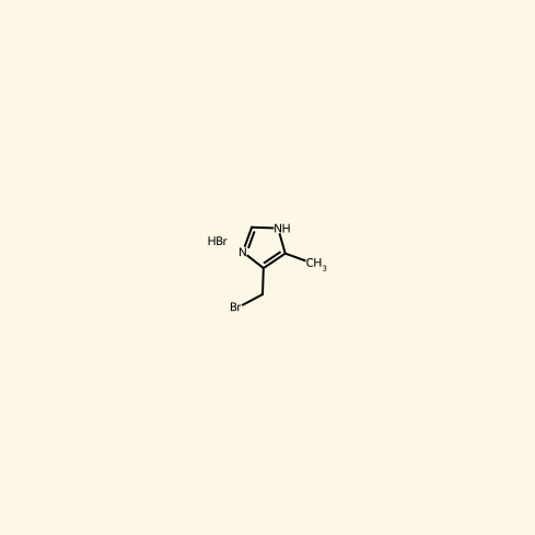 Br.Cc1[nH]cnc1CBr